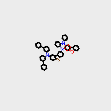 c1ccc(-c2cccc(N(c3cccc(-c4ccccc4)c3)c3ccc4sc5ccc(N(c6ccc7c(c6)oc6ccccc67)c6ccccc6N(c6ccccc6)c6ccccc6)cc5c4c3)c2)cc1